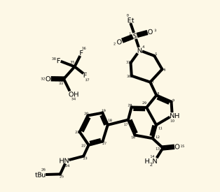 CCS(=O)(=O)N1CCC(c2c[nH]c3c(C(N)=O)cc(-c4cccc(CNCC(C)(C)C)c4)cc23)CC1.O=C(O)C(F)(F)F